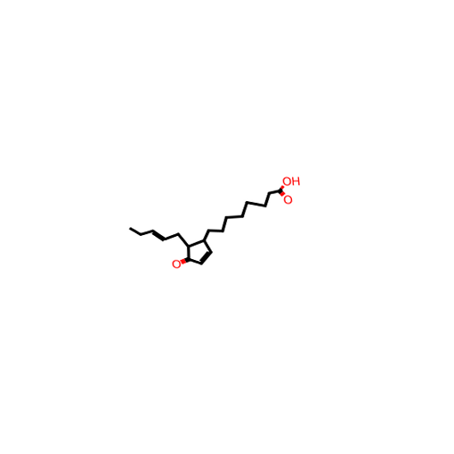 CCC=CCC1C(=O)C=CC1CCCCCCCC(=O)O